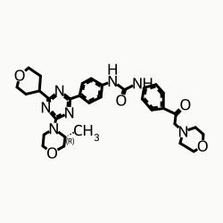 C[C@@H]1COCCN1c1nc(-c2ccc(NC(=O)Nc3ccc(C(=O)CN4CCOCC4)cc3)cc2)nc(C2CCOCC2)n1